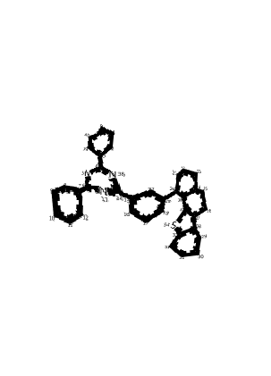 c1ccc(-c2nc(-c3ccccc3)nc(-c3cccc(-c4cccc5ccc6c7ccccc7sc6c45)c3)n2)cc1